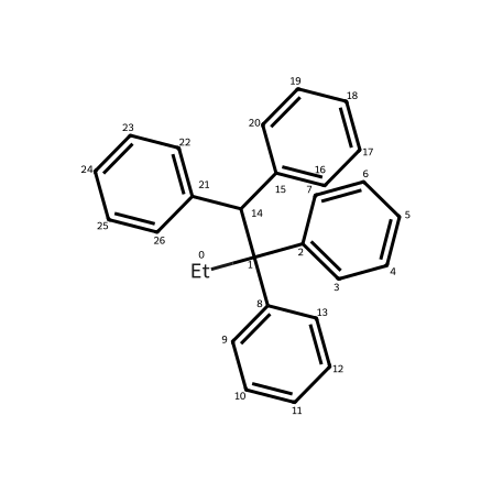 CCC(c1ccccc1)(c1ccccc1)C(c1ccccc1)c1ccccc1